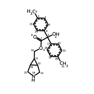 Cc1ccc(C(O)(C(=O)OCC2C3CNCC32)c2ccc(C)cc2)cc1